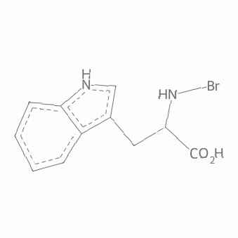 O=C(O)C(Cc1c[nH]c2ccccc12)NBr